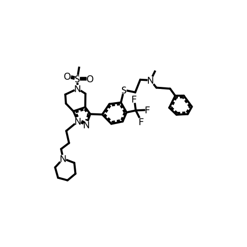 CN(CCSc1cc(-c2nn(CCCN3CCCCC3)c3c2CN(S(C)(=O)=O)CC3)ccc1C(F)(F)F)CCc1ccccc1